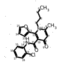 CCCCn1c(C)cc(=O)c(C(=O)Nc2ccccc2Cl)c1-c1ccco1